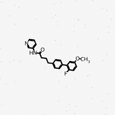 COc1ccc(F)c(-c2ccc(CCCC(=O)Nc3cccnc3)cc2)c1